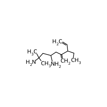 C=CC(CC)C(=C)CC(N)CC(C)(C)N